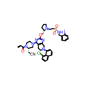 C=CC(=O)N1CCN(c2nc(OC[C@@H]3CCCN3CCS(=O)(=O)NCc3ccccc3I)nc3c2CCN(c2cccc4cccc(Cl)c24)C3)C[C@@H]1CC#N